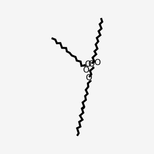 CCCCCCCC/C=C/CCCCCCCCOCC(COC(=O)CCCCCCCCCCCCC)OC(=O)CCCCCCCCCCCCC